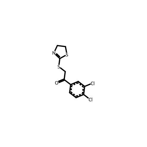 O=C(CSC1=NCCS1)c1ccc(Cl)c(Cl)c1